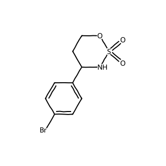 O=S1(=O)NC(c2ccc(Br)cc2)CCO1